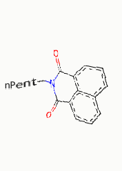 CCCCCN1C(=O)c2cccc3cccc(c23)C1=O